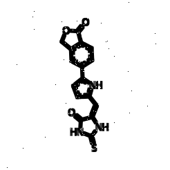 O=C1NC(=S)NC1=Cc1ccc(-c2ccc3c(c2)COC3=O)[nH]1